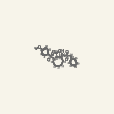 COc1ccc(S(=O)(=O)N2CCCCC[C@H](NS(=O)(=O)Cc3ccccc3)[C@H]2C(=O)O)cc1